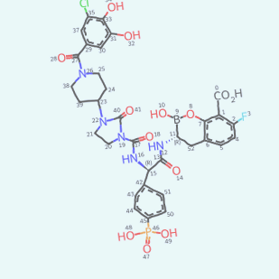 O=C(O)c1c(F)ccc2c1OB(O)[C@@H](NC(=O)[C@H](NC(=O)N1CCN(C3CCN(C(=O)c4cc(O)c(O)c(Cl)c4)CC3)C1=O)c1ccc(P(=O)(O)O)cc1)C2